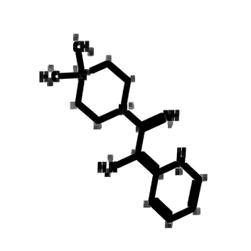 C[N+]1(C)CCN(C(=N)/C(N)=C2/C=CC=CN2)CC1